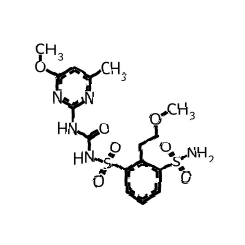 COCCc1c(S(N)(=O)=O)cccc1S(=O)(=O)NC(=O)Nc1nc(C)cc(OC)n1